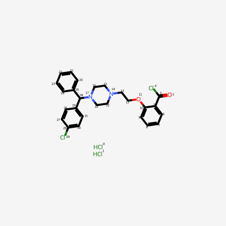 Cl.Cl.O=C(Cl)c1ccccc1OCCN1CCN(C(c2ccccc2)c2ccc(Cl)cc2)CC1